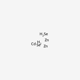 [Cd].[SeH2].[SeH2].[Zn].[Zn]